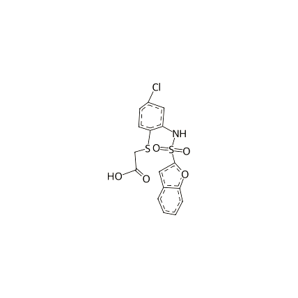 O=C(O)CSc1ccc(Cl)cc1NS(=O)(=O)c1cc2ccccc2o1